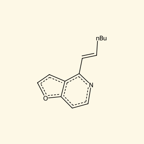 [CH2]CCCC=Cc1nccc2occc12